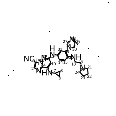 N#Cc1cnc2c(NC3CC3)cc(Nc3ccc(NCCN4CCCC4)c(-n4cnnc4)c3)nn12